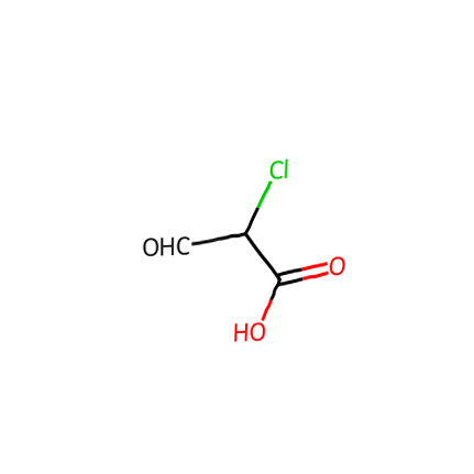 O=CC(Cl)C(=O)O